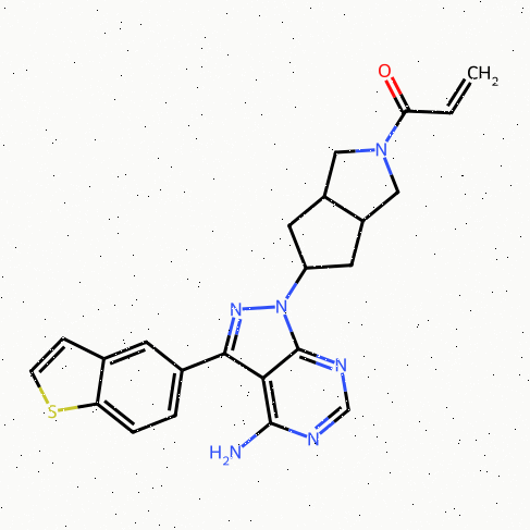 C=CC(=O)N1CC2CC(n3nc(-c4ccc5sccc5c4)c4c(N)ncnc43)CC2C1